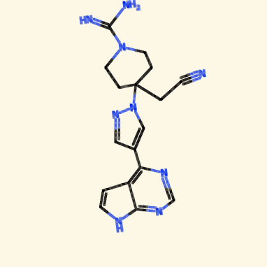 N#CCC1(n2cc(-c3ncnc4[nH]ccc34)cn2)CCN(C(=N)N)CC1